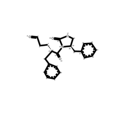 O=CCC[C@@H](Cc1ccccc1)C(=O)N1C(=O)OC[C@H]1Cc1ccccc1